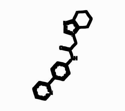 O=C(Cn1cnc2c1CCCC2)Nc1ccc(-c2ccccn2)cc1